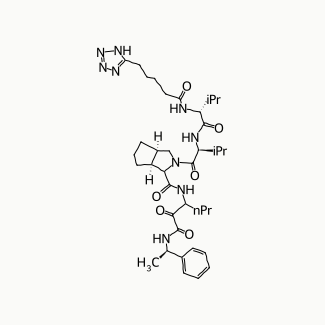 CCCC(NC(=O)C1[C@H]2CCC[C@H]2CN1C(=O)[C@@H](NC(=O)[C@H](NC(=O)CCCCc1nnn[nH]1)C(C)C)C(C)C)C(=O)C(=O)N[C@H](C)c1ccccc1